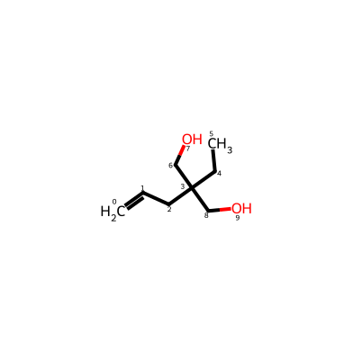 C=CCC(CC)(CO)CO